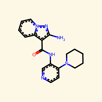 Nc1nn2ccccc2c1C(=O)Nc1cnccc1N1CCCCC1